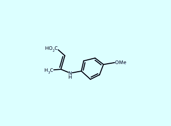 COc1ccc(NC(C)=CC(=O)O)cc1